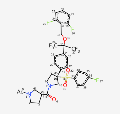 CC(=O)N1CC[C@H](C(=O)N2CC[C@](c3ccc(C(OCc4c(F)cccc4F)(C(F)(F)F)C(F)(F)F)cc3)(S(=O)(=O)c3ccc(F)cc3)C2)C1